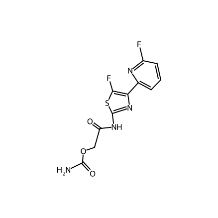 NC(=O)OCC(=O)Nc1nc(-c2cccc(F)n2)c(F)s1